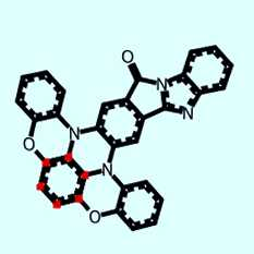 O=C1c2cc(N3c4ccccc4Oc4ccccc43)c(N3c4ccccc4Oc4ccccc43)cc2-c2nc3ccccc3n21